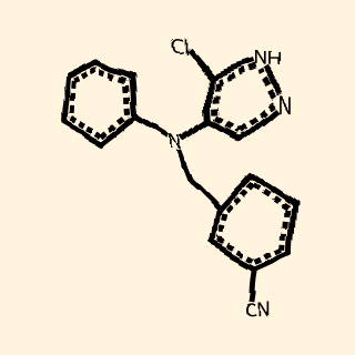 N#Cc1cccc(CN(c2ccccc2)c2cn[nH]c2Cl)c1